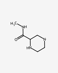 CNC(=O)C1C[N]CCN1